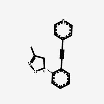 CC1=NO[C@@H](c2ccccc2C#Cc2ccncc2)C1